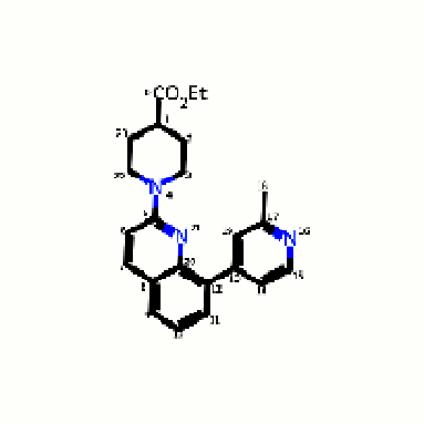 CCOC(=O)C1CCN(c2ccc3cccc(-c4ccnc(C)c4)c3n2)CC1